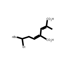 CCCCC(CC)CC=C(C=C(C)C(=O)O)C(=O)O